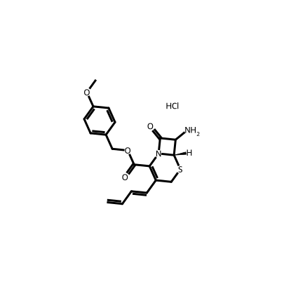 C=CC=CC1=C(C(=O)OCc2ccc(OC)cc2)N2C(=O)C(N)[C@@H]2SC1.Cl